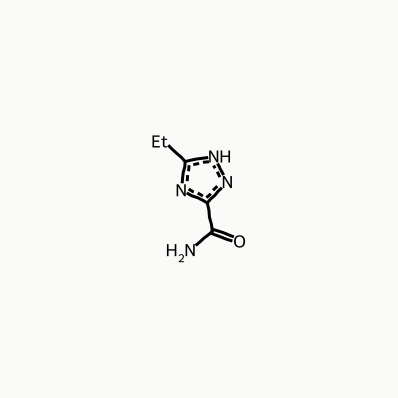 CCc1nc(C(N)=O)n[nH]1